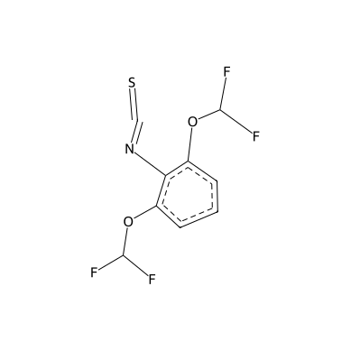 FC(F)Oc1cccc(OC(F)F)c1N=C=S